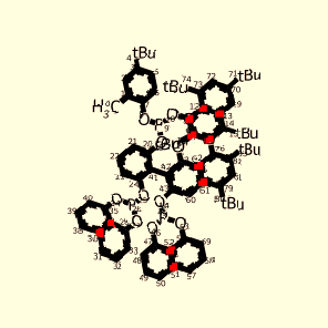 Cc1cc(C(C)(C)C)ccc1OP(Oc1ccc(C(C)(C)C)cc1C(C)(C)C)Oc1cccc(OP(Oc2ccccc2)Oc2ccccc2)c1-c1c(OP(Oc2ccccc2)Oc2ccccc2)cccc1OP(Oc1ccc(C(C)(C)C)cc1C(C)(C)C)Oc1ccc(C(C)(C)C)cc1C(C)(C)C